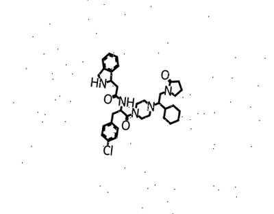 O=C(CC1NCc2ccccc21)NC(Cc1ccc(Cl)cc1)C(=O)N1CCN(C(CN2CCCC2=O)C2CCCCC2)CC1